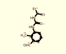 CCC(CC)NC(=O)Nc1cccc(C=O)c1C